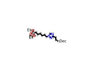 CCCCCCCCCCCCc1ncn(CCCCCC[Si](OCC)(OCC)OCC)n1